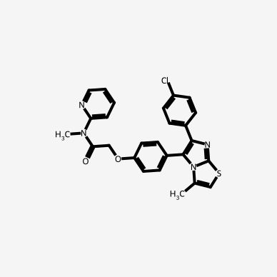 Cc1csc2nc(-c3ccc(Cl)cc3)c(-c3ccc(OCC(=O)N(C)c4ccccn4)cc3)n12